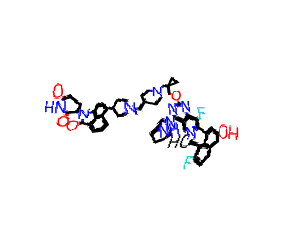 C#Cc1c(F)ccc2cc(O)cc(-c3ncc4c(N5CC6CCC(C5)N6)nc(OCC5(CN6CCC(CN7CCC(c8ccc9c%10c(cccc8%10)C(=O)N9C8CCC(=O)NC8=O)CC7)CC6)CC5)nc4c3F)c12